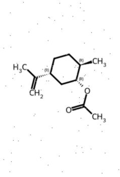 C=C(C)[C@@H]1CC[C@@H](C)[C@H](OC(C)=O)C1